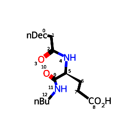 CCCCCCCCCCCC(=O)N[C@@H](CCC(=O)O)C(=O)NCCCC